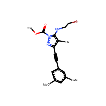 COc1cc(C#Cc2nn(C(=O)OC(C)(C)C)c(NCCBr)c2C#N)cc(OC)c1